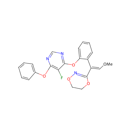 COC=C(C1=NOCCO1)c1ccccc1Oc1ncnc(Oc2ccccc2)c1F